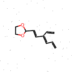 C=C/C=C(C=C)/C=C/C1OCCO1